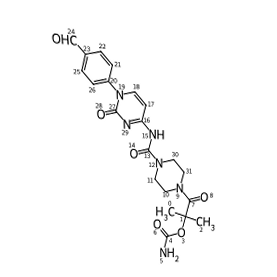 CC(C)(OC(N)=O)C(=O)N1CCN(C(=O)Nc2ccn(-c3ccc(C=O)cc3)c(=O)n2)CC1